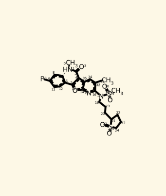 CNC(=O)c1c(-c2ccc(F)cc2)oc2nc(N(CCCC3CCCS3(=O)=O)S(C)(=O)=O)c(C)cc12